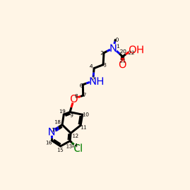 CN(CCCNCCOc1ccc2c(Cl)ccnc2c1)C(=O)O